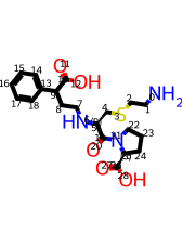 NCCSC[C@H](NCCC(C(=O)O)c1ccccc1)C(=O)N1CCC[C@H]1C(=O)O